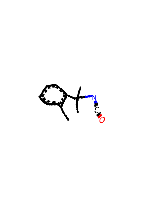 Cc1ccccc1C(C)(C)N=C=O